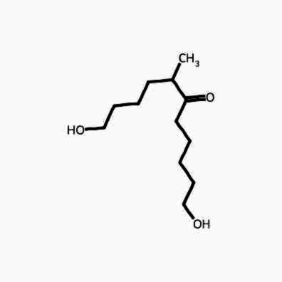 CC(CCCCO)C(=O)CCCCCO